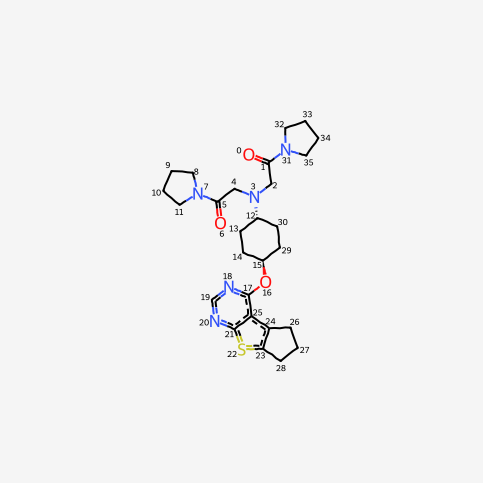 O=C(CN(CC(=O)N1CCCC1)[C@H]1CC[C@H](Oc2ncnc3sc4c(c23)CCC4)CC1)N1CCCC1